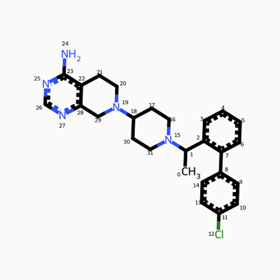 CC(c1ccccc1-c1ccc(Cl)cc1)N1CCC(N2CCc3c(N)ncnc3C2)CC1